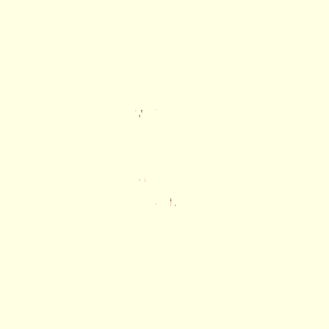 COc1ccc(CN(C)[S+](C)[O-])cc1